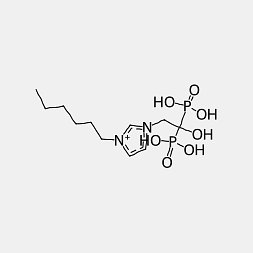 CCCCCC[n+]1ccn(CC(O)(P(=O)(O)O)P(=O)(O)O)c1